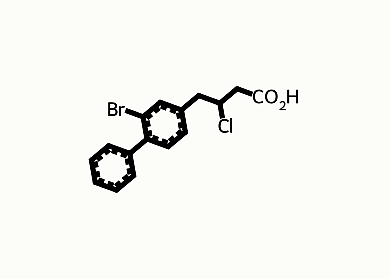 O=C(O)CC(Cl)Cc1ccc(-c2ccccc2)c(Br)c1